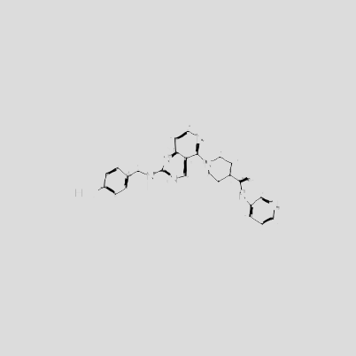 Cc1ccc(CNc2ncc3c(N4CCC(C(=O)Nc5cccnc5)CC4)nccc3n2)cc1